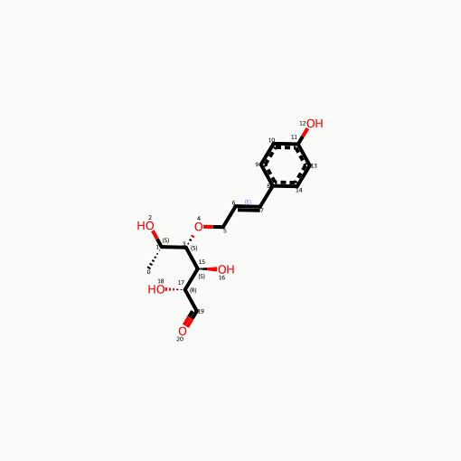 C[C@H](O)[C@H](OC/C=C/c1ccc(O)cc1)[C@@H](O)[C@@H](O)C=O